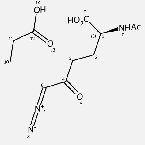 CC(=O)N[C@@H](CCC(=O)C=[N+]=[N-])C(=O)O.CCC(=O)O